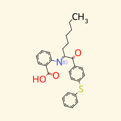 CCCCCC/C(=N\c1ccccc1C(=O)O)C(=O)c1ccc(Sc2ccccc2)cc1